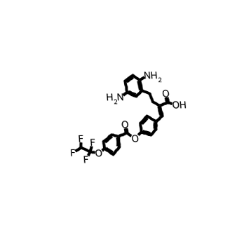 Nc1ccc(N)c(CC/C(=C\c2ccc(OC(=O)c3ccc(OC(F)(F)C(F)F)cc3)cc2)C(=O)O)c1